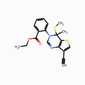 C#Cc1csc2c1N=CN(c1ccccc1C(=O)OCC)C2(C)SC